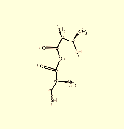 C[C@@H](O)[C@H](N)C(=O)OC(=O)[C@@H](N)CS